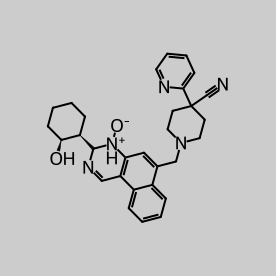 N#CC1(c2ccccn2)CCN(Cc2cc3c(c4ccccc24)C=NC([C@@H]2CCCC[C@@H]2O)[NH+]3[O-])CC1